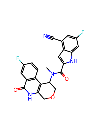 CN(C(=O)c1cc2c(C#N)cc(F)cc2[nH]1)C1COCc2[nH]c(=O)c3cc(F)ccc3c21